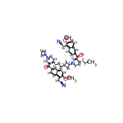 CCC[C@@H]1CCN(C2CC(CCC[C@H]3CCN(C4CCC4)C[C@@H]3C(=O)c3ccc4c(CC#N)c(OC)ccc4c3)C2)C[C@H]1C(=O)c1ccc2c(CC#N)c(OC)ccc2c1